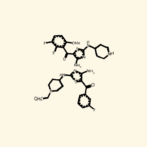 COc1ccc(F)c(F)c1C(=O)c1sc(NC2CCNCC2)nc1N.Nc1nc(NC2CCN(CC=O)CC2)sc1C(=O)c1cccc(F)c1